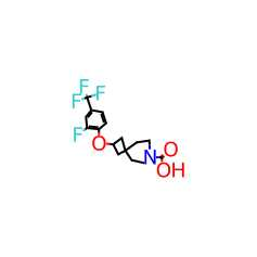 O=C(O)N1CCC2(CC1)CC(Oc1ccc(C(F)(F)F)cc1F)C2